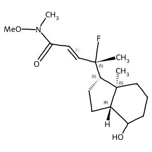 CON(C)C(=O)/C=C/[C@](C)(F)[C@H]1CC[C@H]2C(O)CCC[C@@]21C